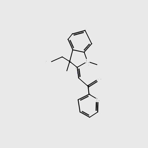 CC(=O)CC1(C)/C(=C/C(=O)c2ccccn2)N(C)c2ccccc21